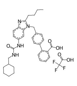 CCCCc1nc2ccc(NC(=O)NCC3CCCCC3)cc2n1Cc1ccc(-c2ccccc2C(=O)O)cc1.O=C(O)C(F)(F)F